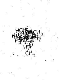 CCCNOC(F)(F)C(P)(P)C(C(C)(P)P)C(P)(P)C(C(C)C)(C(F)(P)P)C(P)(P)P